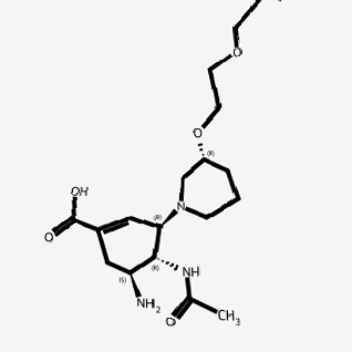 CCOCCO[C@@H]1CCCN([C@@H]2C=C(C(=O)O)C[C@H](N)[C@H]2NC(C)=O)C1